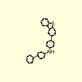 c1ccc(-c2ccc(Nc3ccc(-c4ccc5sc6ccccc6c5c4)cc3)cc2)cc1